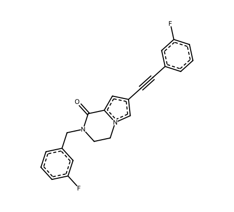 O=C1c2cc(C#Cc3cccc(F)c3)cn2CCN1Cc1cccc(F)c1